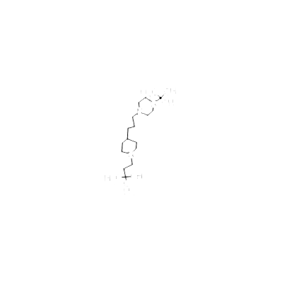 CC(C)(C)CCN1CCC(CCCN2CCN(C(C)(C)C)CC2)CC1